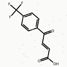 O=C(O)C=CC(=O)c1ccc(C(F)(F)F)cc1